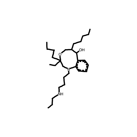 CCCCCC1COC(CC)(CCCC)CN(CCCCNCCC)c2ccccc2C1O